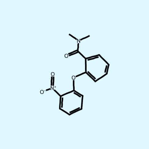 CN(C)C(=O)c1ccccc1Oc1ccccc1[N+](=O)[O-]